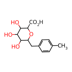 Cc1ccc(CC2OC(C(=O)O)C(O)C(O)C2O)cc1